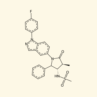 C[C@@H]1C(=O)N(c2ccc3c(cnn3-c3ccc(F)cc3)c2)C(c2ccccc2)[C@H]1NS(C)(=O)=O